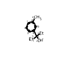 CCC(O)(CC)c1cccc(C)c1